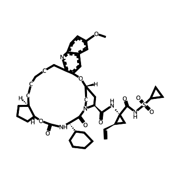 C=C[C@@H]1C[C@]1(NC(=O)[C@@H]1C[C@@H]2CN1C(=O)[C@H](C1CCCCC1)NC(=O)O[C@@H]1CCC[C@H]1CCCCCc1nc3ccc(OC)cc3cc1O2)C(=O)NS(=O)(=O)C1CC1